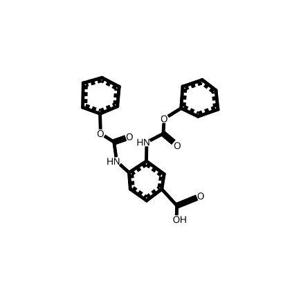 O=C(Nc1ccc(C(=O)O)cc1NC(=O)Oc1ccccc1)Oc1ccccc1